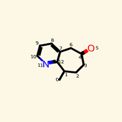 CC1CCC(=O)Cc2cccnc21